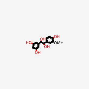 COc1cc(C(O)C(O)c2cc(O)cc(O)c2)ccc1O